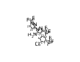 Nc1c(-c2cc(Cl)cc(C(F)(F)F)c2)c(C(F)(F)F)nn1-c1ccn(C(F)F)n1